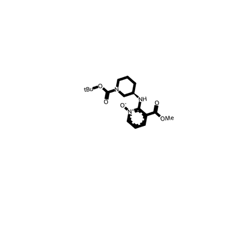 COC(=O)c1ccc[n+]([O-])c1N[C@@H]1CCCN(C(=O)OC(C)(C)C)C1